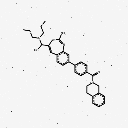 CCCN(CCC)C(O)C1=Cc2ccc(-c3ccc(C(=O)N4CCc5ccccc5C4)cc3)cc2N=C(N)C1